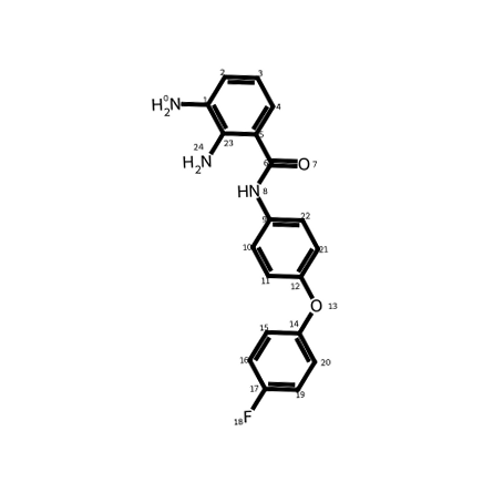 Nc1cccc(C(=O)Nc2ccc(Oc3ccc(F)cc3)cc2)c1N